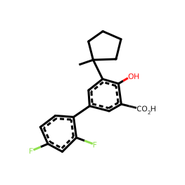 CC1(c2cc(-c3ccc(F)cc3F)cc(C(=O)O)c2O)CCCC1